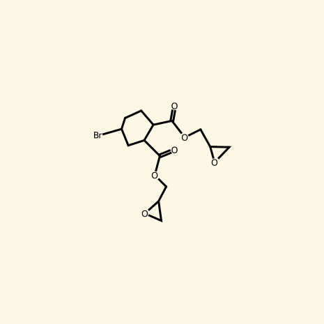 O=C(OCC1CO1)C1CCC(Br)CC1C(=O)OCC1CO1